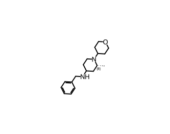 C[C@@H]1CC(NCc2ccccc2)CCN1C1CCOCC1